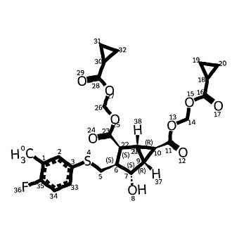 Cc1cc(SC[C@@H]2[C@@H](O)[C@H]3[C@H](C(=O)OCOC(=O)C4CC4)[C@H]3[C@@H]2C(=O)OCOC(=O)C2CC2)ccc1F